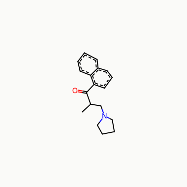 CC(CN1CCCC1)C(=O)c1cccc2ccccc12